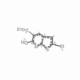 CCOC(=O)c1cc2cc(CC)sc2nc1O